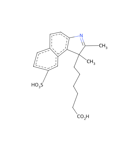 CC1=Nc2ccc3ccc(S(=O)(=O)O)cc3c2C1(C)CCCCCC(=O)O